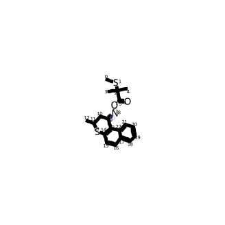 CSC(C)(C)C(=O)O/N=C1\CC(C)Sc2ccc3ccccc3c21